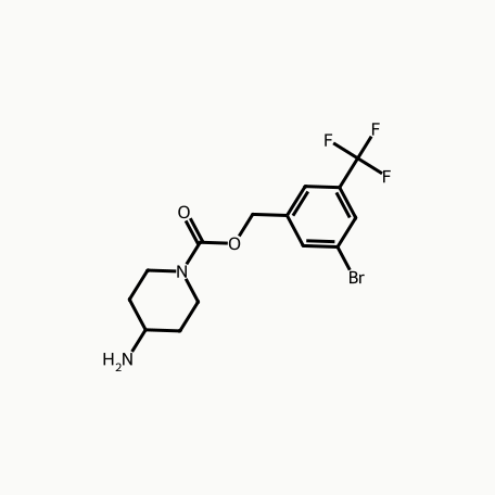 NC1CCN(C(=O)OCc2cc(Br)cc(C(F)(F)F)c2)CC1